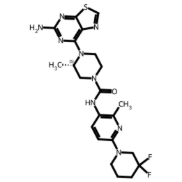 Cc1nc(N2CCCC(F)(F)C2)ccc1NC(=O)N1CCN(c2nc(N)nc3scnc23)[C@@H](C)C1